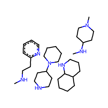 C1CCC2NCCCC2C1.C1CCN(C2CCNCC2)CC1.CNC1CCN(C)CC1.CNCCc1ccccn1